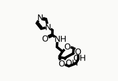 O=C(Cn1ccnc1)NCC1OC2OCCCOC1C(O)C2O